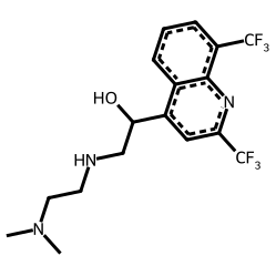 CN(C)CCNCC(O)c1cc(C(F)(F)F)nc2c(C(F)(F)F)cccc12